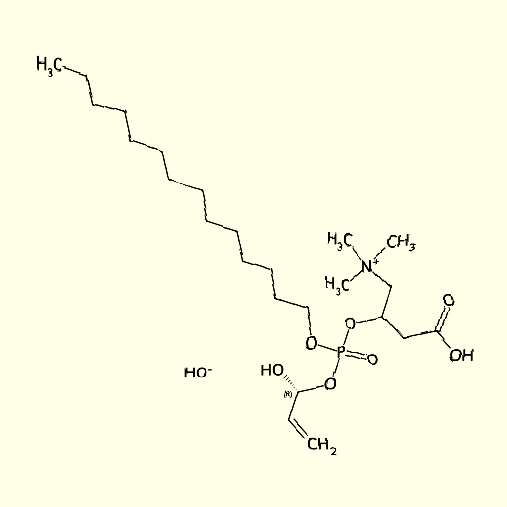 C=C[C@H](O)OP(=O)(OCCCCCCCCCCCCCC)OC(CC(=O)O)C[N+](C)(C)C.[OH-]